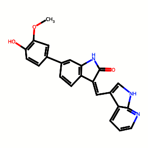 COc1cc(-c2ccc3c(c2)NC(=O)C3=Cc2c[nH]c3ncccc23)ccc1O